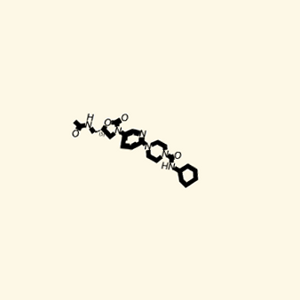 CC(=O)NC[C@H]1CN(c2ccc(N3CCN(C(=O)NC4CCCCC4)CC3)nc2)C(=O)O1